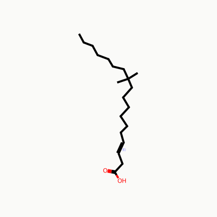 CCCCCCCC(C)(C)CCCCCC/C=C/CC(=O)O